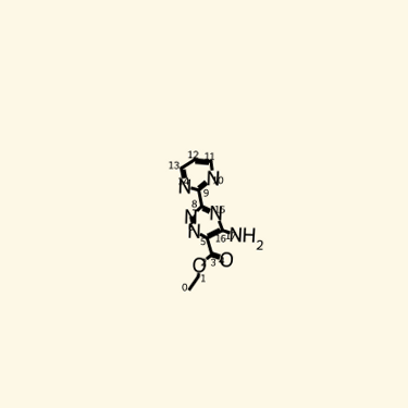 CCOC(=O)c1nnc(-c2ncccn2)nc1N